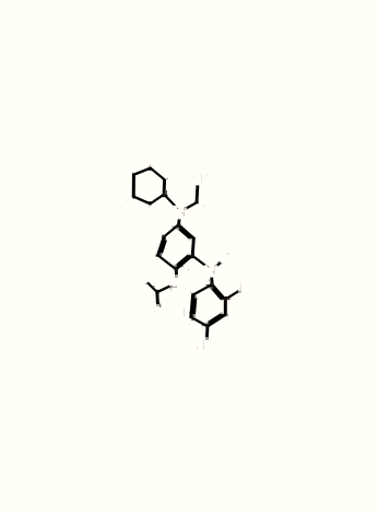 CC(=O)N(c1ccc(F)cc1F)c1cc(N(CC(C)C)C2CCCCC2)ccc1OC(C)C(=O)O